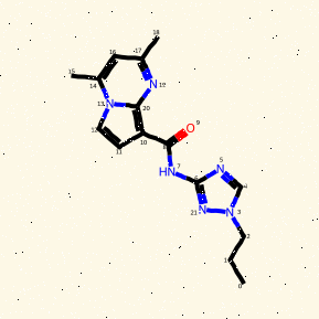 CCCn1cnc(NC(=O)c2ccn3c(C)cc(C)nc23)n1